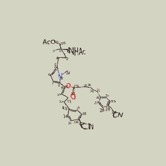 CC(=O)N[C@](C)(CCc1ccc(C(=CCCc2ccc(C#N)cc2)OC(=O)CCCc2ccc(C#N)cc2)n1C)COC(C)=O